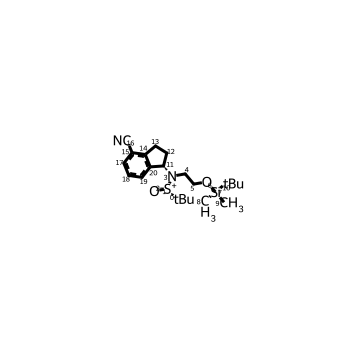 CC(C)(C)[S@@+]([O-])N(CCO[Si](C)(C)C(C)(C)C)[C@H]1CCc2c(C#N)cccc21